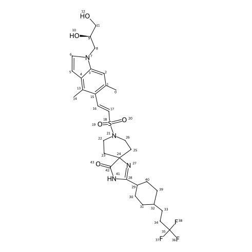 Cc1cc2c(ccn2C[C@@H](O)CO)c(C)c1/C=C/S(=O)(=O)N1CCC2(CC1)N=C(C1CCC(CCC(F)(F)F)CC1)NC2=O